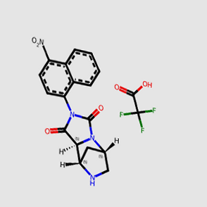 O=C(O)C(F)(F)F.O=C1[C@@H]2[C@@H]3C[C@@H](CN3)N2C(=O)N1c1ccc([N+](=O)[O-])c2ccccc12